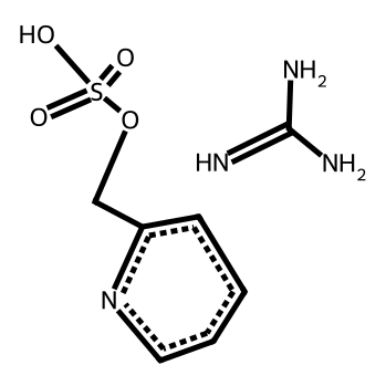 N=C(N)N.O=S(=O)(O)OCc1ccccn1